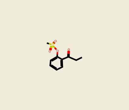 CCC(=O)c1ccccc1OS(C)(=O)=O